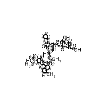 CC[C@@]1(O)C(=O)OCc2c1cc1n(c2=O)Cc2c-1nc1cc(F)c(C)c3c1c2[C@@H](NC(=O)[C@H](C)OCNC(=O)CNC(=O)[C@H](Cc1ccccc1)NC(=O)CNC(=O)CNC(=O)C(CNCC(=O)O)N1C(=O)CC(C)C1=O)CC3